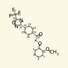 COc1ccccc1OCC(=O)c1ccc(-c2noc(C(F)(F)F)n2)cc1